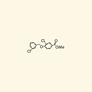 COC(=O)c1ccc(OCc2cccc(Cl)c2)c(Cl)c1